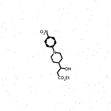 CCOC(=O)CC(O)C1CCN(c2ccc([N+](=O)[O-])cc2)CC1